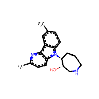 O[C@H]1CNCCC[C@@H]1n1c2ccc(C(F)(F)F)cc2c2nc(C(F)(F)F)ccc21